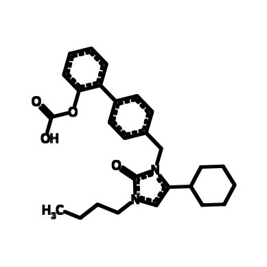 CCCCn1cc(C2CCCCC2)n(Cc2ccc(-c3ccccc3OC(=O)O)cc2)c1=O